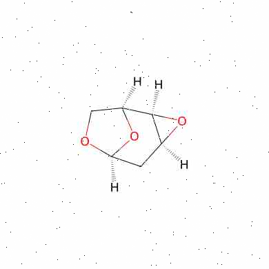 C1O[C@@H]2C[C@@H]3O[C@@H]3[C@H]1O2